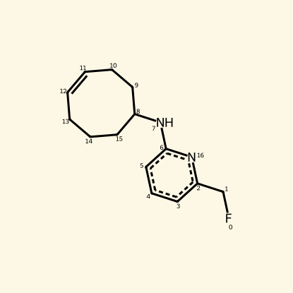 FCc1cccc(NC2CC/C=C\CCC2)n1